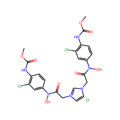 COC(=O)Nc1ccc(N(O)C(=O)Cn2cc[n+](CC(=O)N(O)c3ccc(NC(=O)OC)c(Cl)c3)c2)cc1Cl.[Cl-]